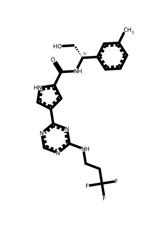 Cc1cccc([C@@H](CO)NC(=O)c2cc(-c3ncnc(NCCC(F)(F)F)n3)c[nH]2)c1